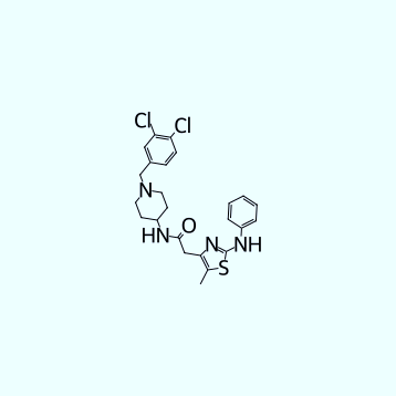 Cc1sc(Nc2ccccc2)nc1CC(=O)NC1CCN(Cc2ccc(Cl)c(Cl)c2)CC1